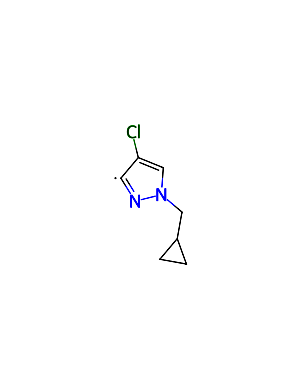 Clc1[c]nn(CC2CC2)c1